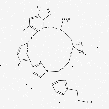 CC1(C)CCCC(c2cccc(CCC=O)c2)n2ccc(n2)-c2cc(ccc2F)Oc2c(F)cc3[nH]ccc3c2CC(C(=O)O)SC1